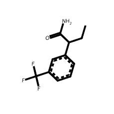 CCC(C(N)=O)c1cccc(C(F)(F)F)c1